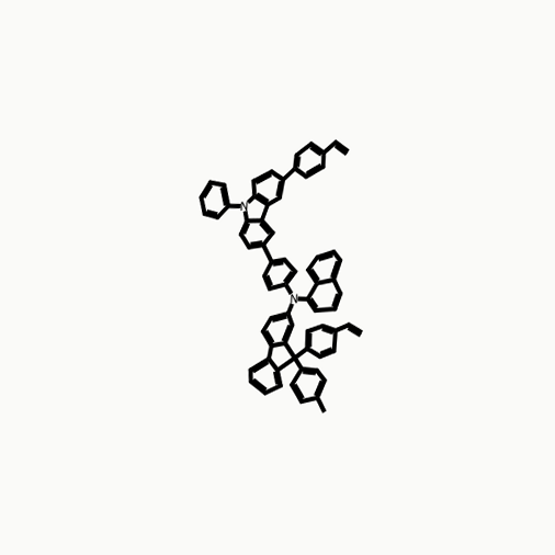 C=Cc1ccc(-c2ccc3c(c2)c2cc(-c4ccc(N(c5ccc6c(c5)C(c5ccc(C)cc5)(c5ccc(C=C)cc5)c5ccccc5-6)c5cccc6ccccc56)cc4)ccc2n3-c2ccccc2)cc1